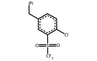 CC(C)Cc1ccc(Cl)c(S(=O)(=O)C(F)(F)F)c1